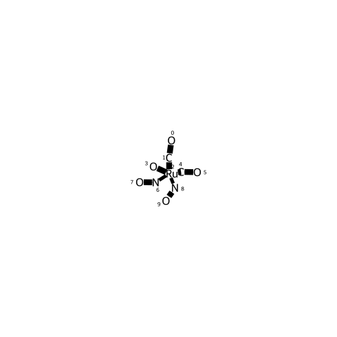 O=[C]=[Ru](=[O])(=[C]=O)([N]=O)[N]=O